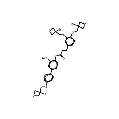 CCC1(COc2ccc(-c3ccc(OC(=O)CCc4ccc(OCC5(CC)COC5)c(OCC5(CC)COC5)c4)c(OC)c3)cc2)COC1